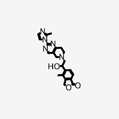 Cc1c(C(O)CN2CCc3nc(-n4ccnc4C)ncc3C2)ccc2c1COC2=O